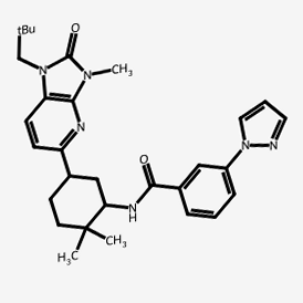 Cn1c(=O)n(CC(C)(C)C)c2ccc(C3CCC(C)(C)C(NC(=O)c4cccc(-n5cccn5)c4)C3)nc21